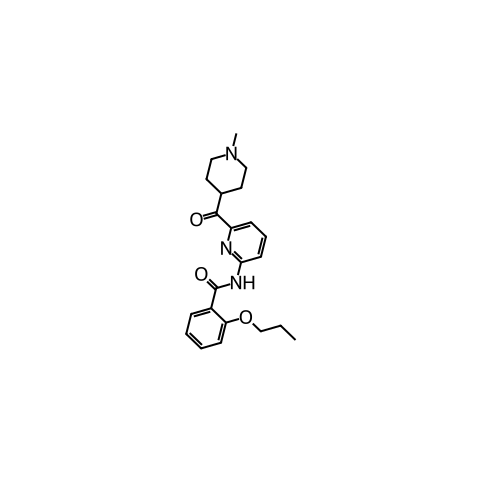 CCCOc1ccccc1C(=O)Nc1cccc(C(=O)C2CCN(C)CC2)n1